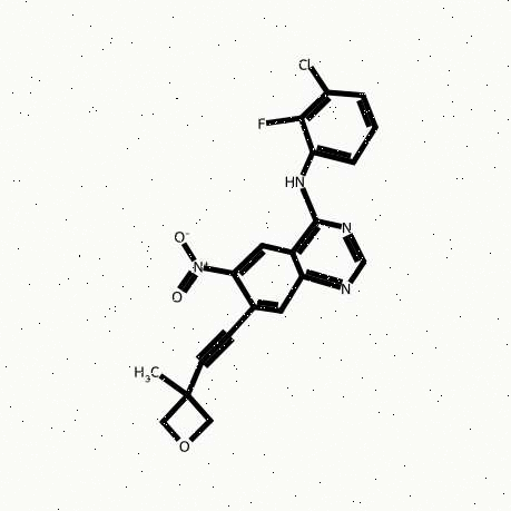 CC1(C#Cc2cc3ncnc(Nc4cccc(Cl)c4F)c3cc2[N+](=O)[O-])COC1